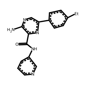 CCc1ccc(-c2cnc(N)c(C(=O)Nc3cccnc3)n2)cc1